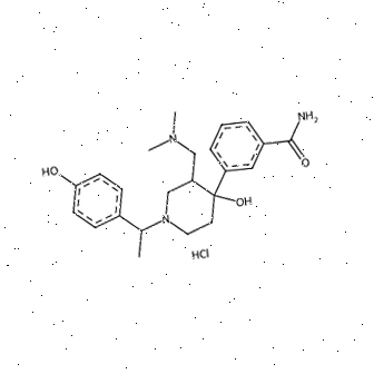 CC(c1ccc(O)cc1)N1CCC(O)(c2cccc(C(N)=O)c2)C(CN(C)C)C1.Cl